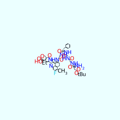 CC[C@@]1(O)C(=O)OCc2c1cc1n(c2=O)Cc2c-1nc1cc(F)c(C)c3c1c2[C@@H](NC(=O)CNC(=O)[C@H](Cc1ccccc1)NC(=O)CNC(=O)CNC(=O)[C@H](N)CC(=O)OC(C)(C)C)CC3